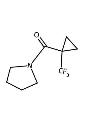 O=C(N1CCCC1)C1(C(F)(F)F)CC1